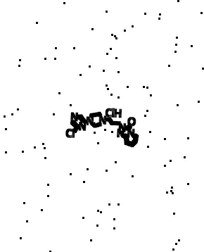 Cl.O=c1n(CCCN2CCN(c3cncc(Cl)n3)CC2)nc2ccccn12